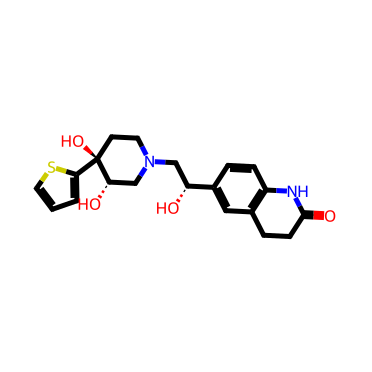 O=C1CCc2cc([C@H](O)CN3CC[C@@](O)(c4cccs4)[C@@H](O)C3)ccc2N1